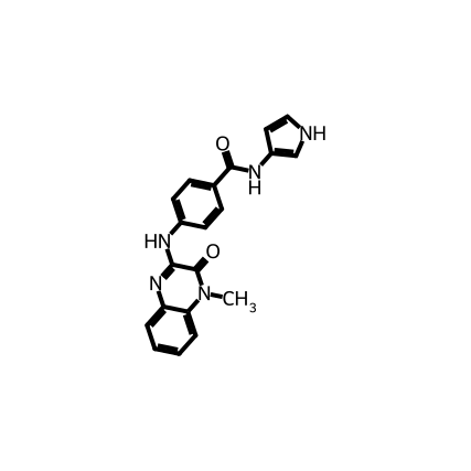 Cn1c(=O)c(Nc2ccc(C(=O)Nc3cc[nH]c3)cc2)nc2ccccc21